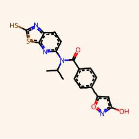 CC(C)N(C(=O)c1ccc(-c2cc(O)no2)cc1)c1ccc2nc(S)sc2n1